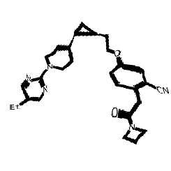 CCc1cnc(N2CCC([C@H]3C[C@H]3CCOc3ccc(CC(=O)N4CCC4)c(C#N)c3)CC2)nc1